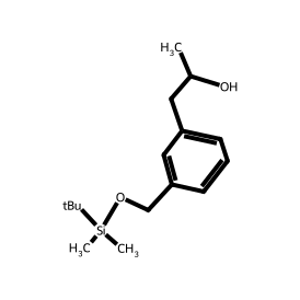 CC(O)Cc1cccc(CO[Si](C)(C)C(C)(C)C)c1